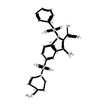 Cc1c(C(=O)O)n(S(=O)(=O)c2ccccc2)c2ccc(S(=O)(=O)N3CCC(C)CC3)cc12